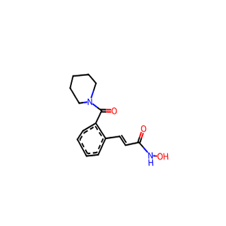 O=C(C=Cc1ccccc1C(=O)N1CCCCC1)NO